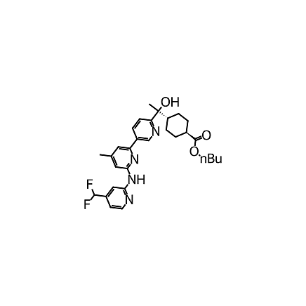 CCCCOC(=O)[C@H]1CC[C@H](C(C)(O)c2ccc(-c3cc(C)cc(Nc4cc(C(F)F)ccn4)n3)cn2)CC1